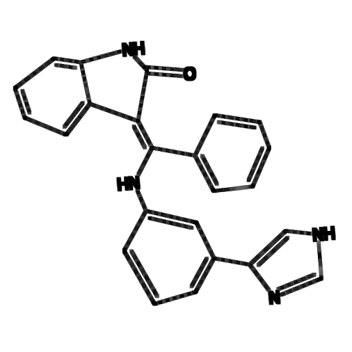 O=C1Nc2ccccc2C1=C(Nc1cccc(-c2c[nH]cn2)c1)c1ccccc1